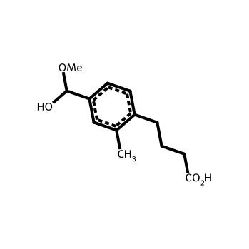 COC(O)c1ccc(CCCC(=O)O)c(C)c1